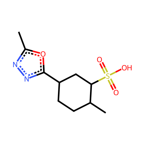 Cc1nnc(C2CCC(C)C(S(=O)(=O)O)C2)o1